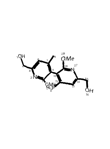 COc1nc(CO)cc(C)c1-c1c(P)cc(CO)nc1OC